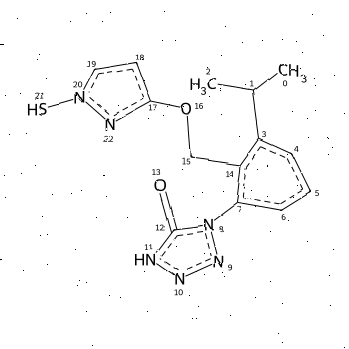 CC(C)c1cccc(-n2nn[nH]c2=O)c1COc1ccn(S)n1